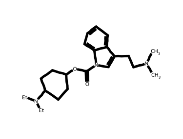 CCN(CC)C1CCC(OC(=O)n2cc(CCN(C)C)c3ccccc32)CC1